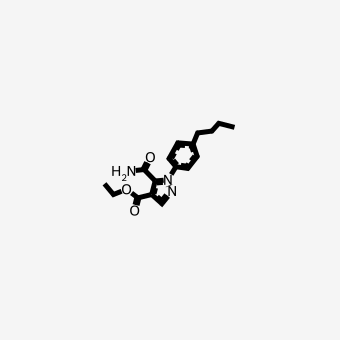 CCCCc1ccc(-n2ncc(C(=O)OCC)c2C(N)=O)cc1